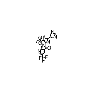 CCS(=O)(=O)c1c(N2Cc3ncc(C(F)(F)F)cc3C2=O)nc(-c2cncnc2)n1C